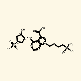 C[Si](C)(C)CCOCn1nc(C(=O)O)c2c(N[C@@H]3C[C@@H](S(C)(=O)=O)C[C@H]3O)ncnc21